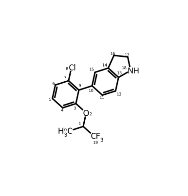 CC(Oc1cccc(Cl)c1-c1ccc2c(c1)CCN2)C(F)(F)F